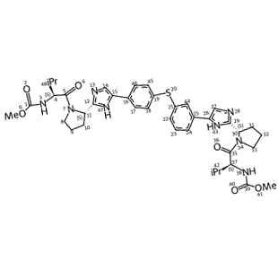 COC(=O)N[C@H](C(=O)N1CCC[C@H]1c1ncc(-c2ccc(Sc3cccc(-c4cnc([C@@H]5CCCN5C(=O)[C@@H](NC(=O)OC)C(C)C)[nH]4)c3)cc2)[nH]1)C(C)C